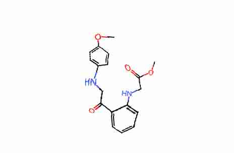 COC(=O)CNc1ccccc1C(=O)CNc1ccc(OC)cc1